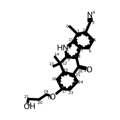 Cc1c(C#N)ccc2c3c([nH]c12)C(C)(C)c1cc(OCCCO)ccc1C3=O